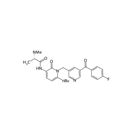 CCCCc1ccc(NC(=O)[C@H](C)NC)c(=O)n1Cc1cncc(C(=O)c2ccc(F)cc2)c1